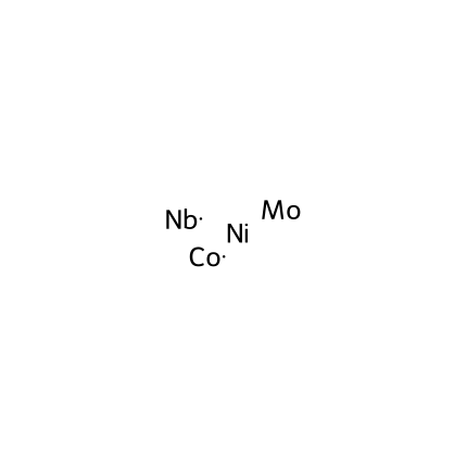 [Co].[Mo].[Nb].[Ni]